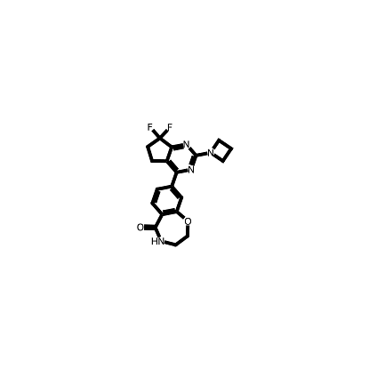 O=C1NCCOc2cc(-c3nc(N4CCC4)nc4c3CCC4(F)F)ccc21